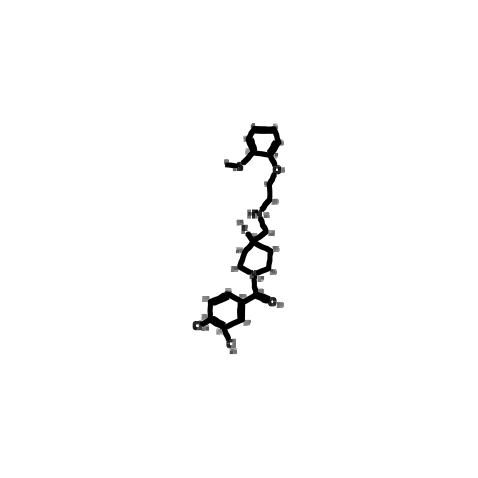 CSc1ccccc1OCCNCC1(F)CCN(C(=O)c2ccc(Cl)c(Cl)c2)CC1